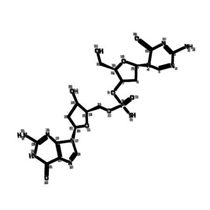 Nc1ncn([C@H]2CC(OP(=O)(S)OC[C@H]3O[C@@H](n4cnc5c(=O)[nH]c(N)nc54)CC3O)[C@@H](CO)O2)c(=O)n1